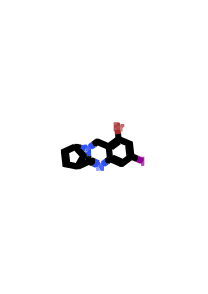 Brc1cc(I)cc2c1CN1C(=N2)C2C=CC1C2